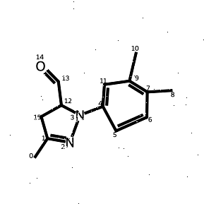 CC1=NN(c2ccc(C)c(C)c2)C(C=O)C1